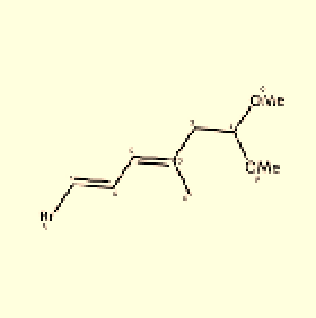 COC(C/C(C)=C/C=C/Br)OC